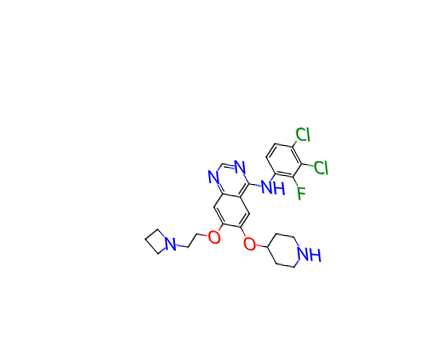 Fc1c(Nc2ncnc3cc(OCCN4CCC4)c(OC4CCNCC4)cc23)ccc(Cl)c1Cl